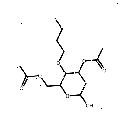 CCCCOC1C(OC(C)=O)CC(O)OC1COC(C)=O